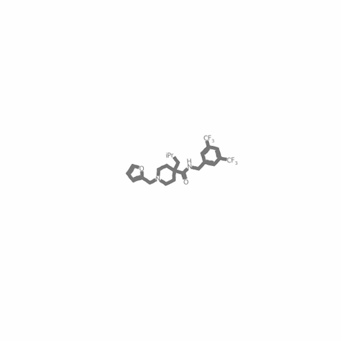 CC(C)CC1(C(=O)NCc2cc(C(F)(F)F)cc(C(F)(F)F)c2)CCN(Cc2ccco2)CC1